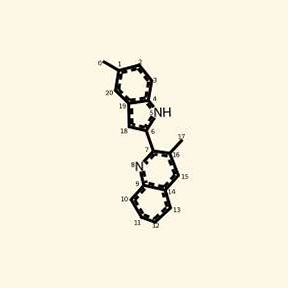 Cc1ccc2[nH]c(-c3nc4ccccc4cc3C)cc2c1